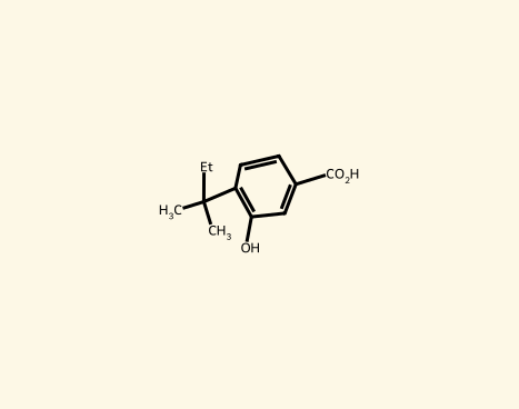 CCC(C)(C)c1ccc(C(=O)O)cc1O